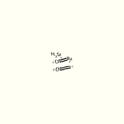 [O]=[Ir].[O]=[Ru].[SrH2]